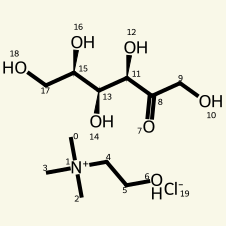 C[N+](C)(C)CCO.O=C(CO)[C@H](O)[C@@H](O)[C@H](O)CO.[Cl-]